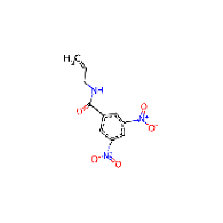 C=CCNC(=O)c1cc([N+](=O)[O-])cc([N+](=O)[O-])c1